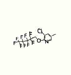 Cc1cnc(OCC(F)(F)C(F)(F)C(F)(F)C(F)(F)F)c(Cl)c1